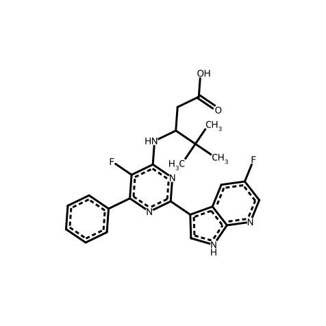 CC(C)(C)C(CC(=O)O)Nc1nc(-c2c[nH]c3ncc(F)cc23)nc(-c2ccccc2)c1F